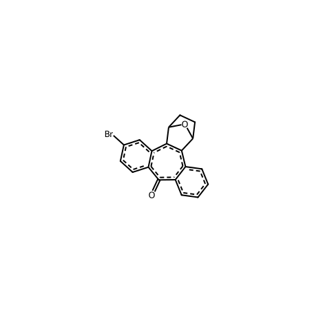 O=c1c2ccccc2c2c(c3cc(Br)ccc13)C1CCC2O1